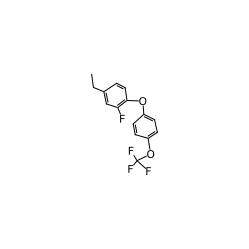 CCc1ccc(Oc2ccc(OC(F)(F)F)cc2)c(F)c1